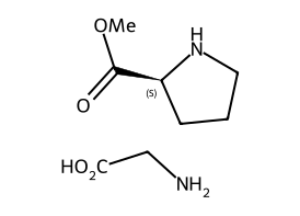 COC(=O)[C@@H]1CCCN1.NCC(=O)O